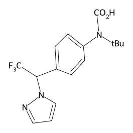 CC(C)(C)N(C(=O)O)c1ccc(C(n2cccn2)C(F)(F)F)cc1